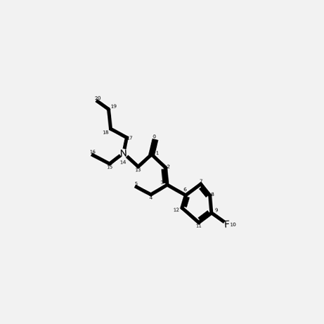 C=C(/C=C(\CC)c1ccc(F)cc1)CN(CC)CCCC